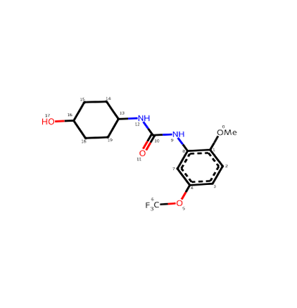 COc1ccc(OC(F)(F)F)cc1NC(=O)NC1CCC(O)CC1